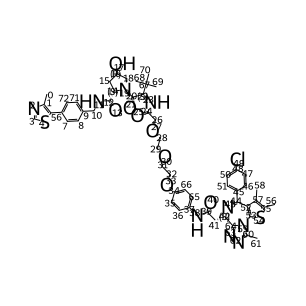 Cc1ncsc1-c1ccc(CNC(=O)[C@@H]2C[C@@H](O)CN2C(=O)[C@@H](NC(=O)COCCOCCOc2ccc(NC(=O)C[C@@H]3N=C(c4ccc(Cl)cc4)c4c(sc(C)c4C)-n4c(C)nnc43)cc2)C(C)(C)C)cc1